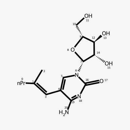 CCC/C(C)=C/c1cn([C@@H]2O[C@H](CO)[C@@H](O)[C@@H]2O)c(=O)nc1N